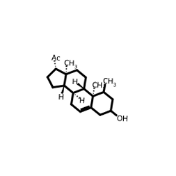 CC(=O)[C@H]1CC[C@H]2[C@@H]3CC=C4CC(O)CC(C)[C@]4(C)[C@H]3CC[C@]12C